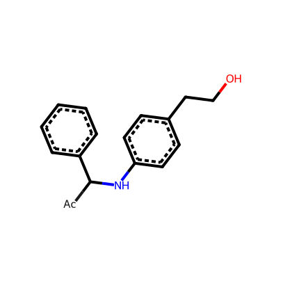 CC(=O)C(Nc1ccc(CCO)cc1)c1ccccc1